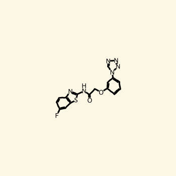 O=C(COc1cccc(-n2cnnn2)c1)Nc1nc2ccc(F)cc2s1